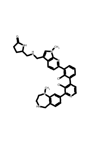 CN1CCNCc2ccc(-c3nccc(-c4cccc(-c5ccc6c(CNCC7CCC(=O)N7)cn(C)c6n5)c4Cl)c3Cl)cc21